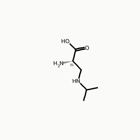 CC(C)NC[C@H](N)C(=O)O